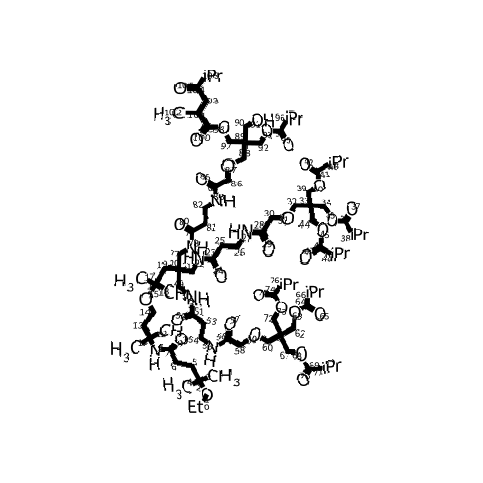 CCOC(C)(C)CCC(=O)NC(C)(C)CCOC(C)(C)CC(CNC(=O)CCNC(=O)COCC(COC(=O)C(C)C)(COC(=O)C(C)C)COC(=O)C(C)C)(CNC(=O)CCNC(=O)COCC(COC(=O)C(C)C)(COC(=O)C(C)C)COC(=O)C(C)C)CNC(=O)CCNC(=O)COCC(CO)(COC(=O)C(C)C)COC(=O)C(C)CC(=O)C(C)C